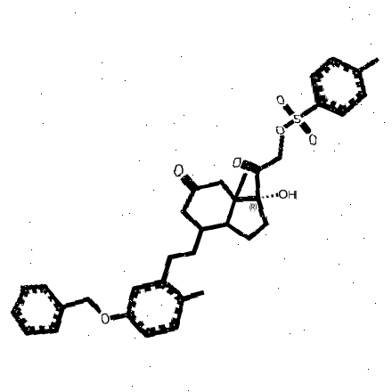 Cc1ccc(S(=O)(=O)OCC(=O)[C@@]2(O)CCC3C(CCc4cc(OCc5ccccc5)ccc4C)CC(=O)CC32C)cc1